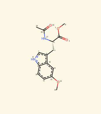 COC(=O)[C@H](Cc1c[nH]c2ccc(OC)cc12)NC(C)=O